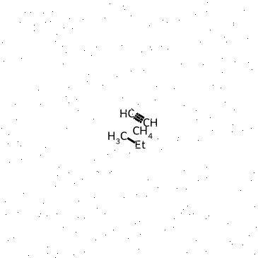 C.C#C.CCC